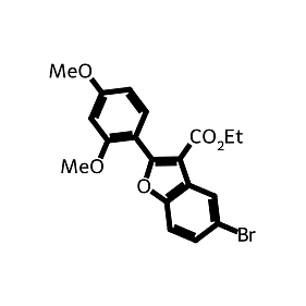 CCOC(=O)c1c(-c2ccc(OC)cc2OC)oc2ccc(Br)cc12